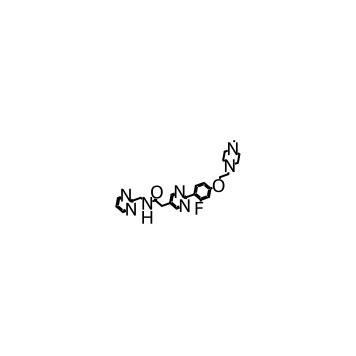 CN1CCN(CCOc2ccc(-c3ncc(CC(=O)NCc4ncccn4)cn3)c(F)c2)CC1